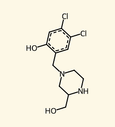 OCC1CN(Cc2cc(Cl)c(Cl)cc2O)CCN1